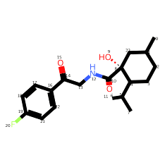 CC1CCC(C(C)C)[C@@](O)(C(=O)NCC(=O)c2ccc(F)cc2)C1